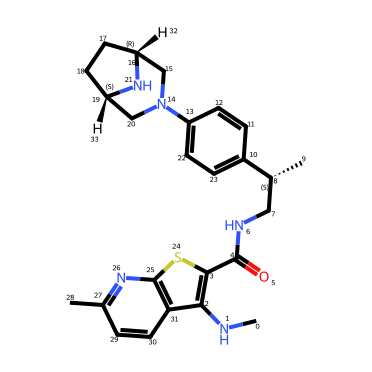 CNc1c(C(=O)NC[C@@H](C)c2ccc(N3C[C@H]4CC[C@@H](C3)N4)cc2)sc2nc(C)ccc12